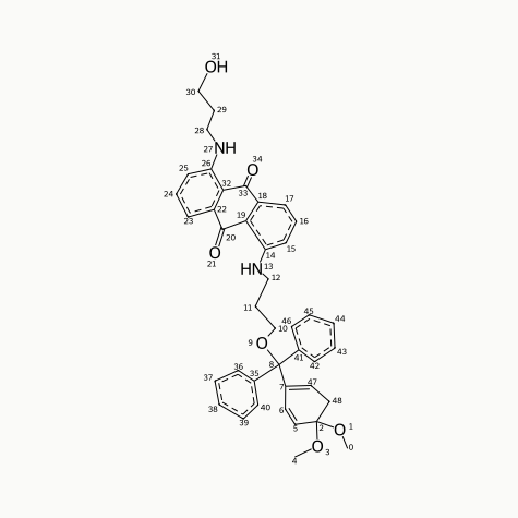 COC1(OC)C=CC(C(OCCCNc2cccc3c2C(=O)c2cccc(NCCCO)c2C3=O)(c2ccccc2)c2ccccc2)=CC1